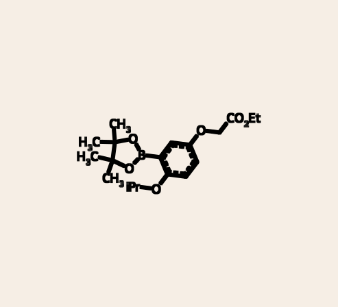 CCOC(=O)COc1ccc(OC(C)C)c(B2OC(C)(C)C(C)(C)O2)c1